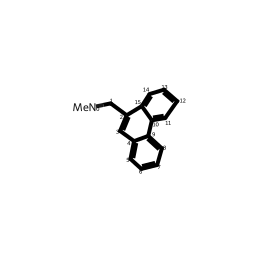 CNCc1cc2ccccc2c2ccccc12